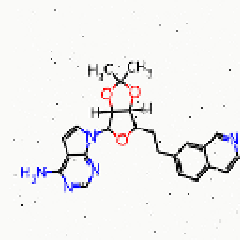 CC1(C)O[C@@H]2[C@H](O1)[C@@H](CCc1ccc3ccncc3c1)O[C@H]2n1ccc2c(N)ncnc21